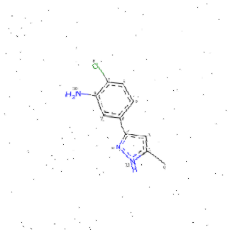 Cc1cc(-c2ccc(Cl)c(N)c2)n[nH]1